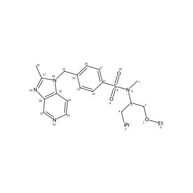 CCOCC(CC(C)C)N(C)S(=O)(=O)c1ccc(Cn2c(C)nc3cnccc32)cc1